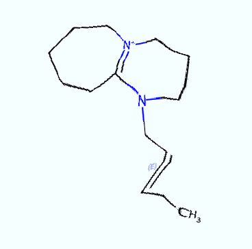 C/C=C/CN1CCC[N+]2=C1CCCCC2